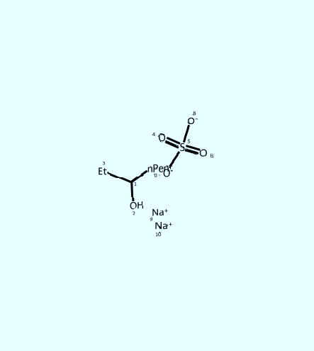 CCCCCC(O)CC.O=S(=O)([O-])[O-].[Na+].[Na+]